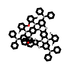 Fc1cccc(F)c1N1c2cc3c(cc2B2c4cc5c(cc4Oc4cc(N(c6ccccc6)c6ccccc6)cc1c42)N(c1c(F)cccc1F)c1cc(N(c2ccccc2)c2ccccc2)cc2c1B5c1sc4ccccc4c1O2)B1c2sc4ccccc4c2Oc2cc(N(c4ccccc4)c4ccccc4)cc(c21)N3c1c(F)cccc1F